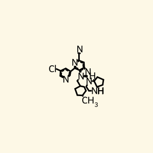 CC1CCC(Cn2c(N3CCN[C@@H]4CCC[C@H]43)nc3cc(C#N)nc(-c4cncc(Cl)c4)c32)CC1